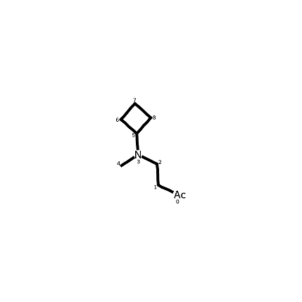 CC(=O)CCN(C)C1CCC1